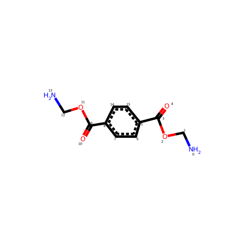 NCOC(=O)c1ccc(C(=O)OCN)cc1